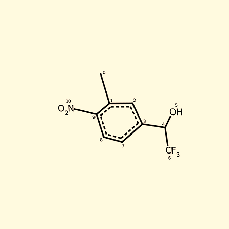 Cc1cc(C(O)C(F)(F)F)ccc1[N+](=O)[O-]